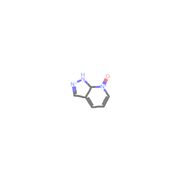 O=[N+]1C=CC=C2C=[N+]NC21